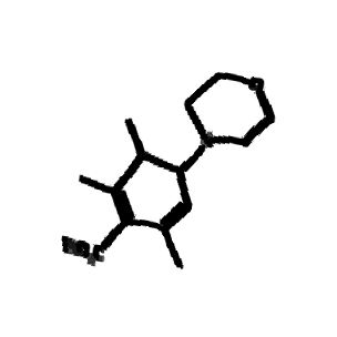 CCOC(=O)C1=C(C)C(C)C(N2CCOCC2)C=C1C